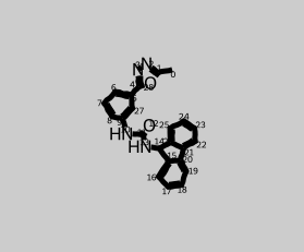 Cc1nnc(-c2cccc(NC(=O)NC3c4ccccc4-c4ccccc43)c2)o1